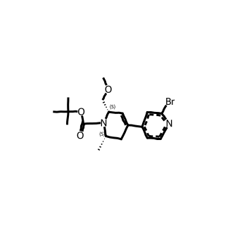 COC[C@@H]1C=C(c2ccnc(Br)c2)C[C@H](C)N1C(=O)OC(C)(C)C